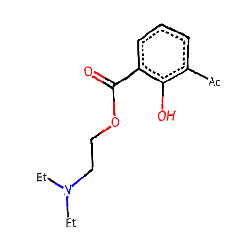 CCN(CC)CCOC(=O)c1cccc(C(C)=O)c1O